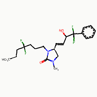 CN1C[C@H](C=CC(O)C(F)(F)c2ccccc2)N(CCCC(F)(F)CCC(=O)O)C1=O